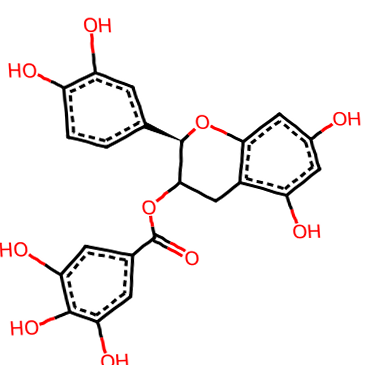 O=C(OC1Cc2c(O)cc(O)cc2O[C@@H]1c1ccc(O)c(O)c1)c1cc(O)c(O)c(O)c1